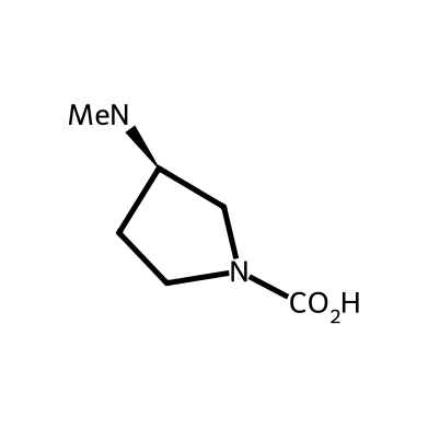 CN[C@@H]1CCN(C(=O)O)C1